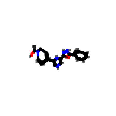 CCC(=O)N1CC=C(c2cncc(-c3nnc(-c4ccccc4)o3)n2)CC1